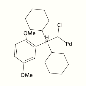 COc1ccc(OC)c([PH]([CH](Cl)[Pd])(C2CCCCC2)C2CCCCC2)c1